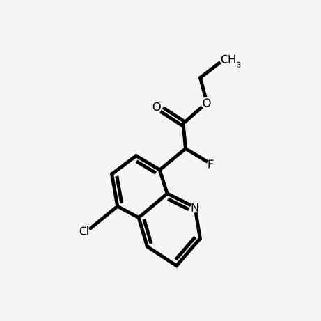 CCOC(=O)C(F)c1ccc(Cl)c2cccnc12